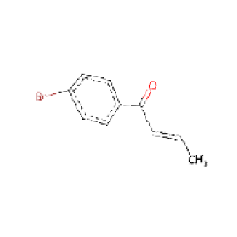 CC=CC(=O)c1ccc(Br)cc1